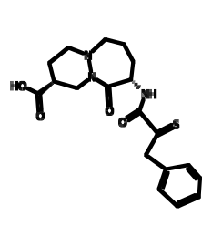 O=C(N[C@H]1CCCN2CC[C@H](C(=O)O)CN2C1=O)C(=S)Cc1ccccc1